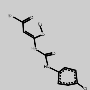 CCOC(=CC(=O)C(C)C)NC(=O)Nc1ccc(Cl)cc1